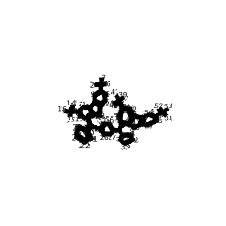 CC(C)(C)c1ccc2c(c1)-c1cc(C(C)(C)C)cc(C(C3=CC=CC3)c3ccc(C(C4=CC=CC4)c4cc(C(C)(C)C)cc5c4Cc4ccc(C(C)(C)C)cc4-5)cc3)c1C2